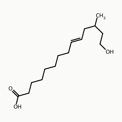 CC(CC=CCCCCCCCC(=O)O)CCO